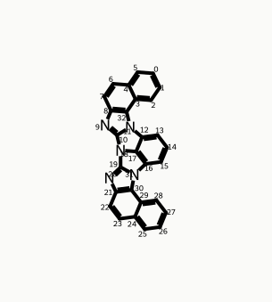 c1ccc2c(c1)ccc1nc3n(c4cccc5c4n3c3nc4ccc6ccccc6c4n53)c12